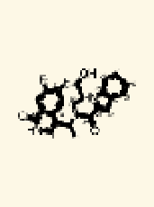 CC(c1c[nH]c(=O)c2cc(F)c(F)cc12)N(CCCO)C(=O)c1cc2ccccc2[nH]1